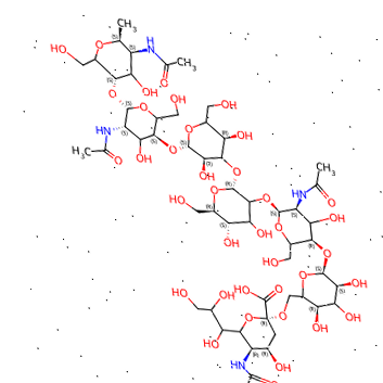 CC(=O)N[C@H]1C(O)[C@H](O[C@@H]2OC(CO)[C@@H](O)C(O[C@H]3O[C@H](CO)[C@@H](O)C(O)C3O[C@@H]3OC(CO)[C@H](O[C@@H]4OC(CO[C@]5(C(=O)O)C[C@@H](O)[C@@H](NC(C)=O)C(C(O)C(O)CO)O5)[C@H](O)C(O)[C@@H]4O)C(O)[C@@H]3NC(C)=O)[C@H]2O)C(CO)O[C@H]1O[C@@H]1C(CO)O[C@@H](C)[C@@H](NC(C)=O)C1O